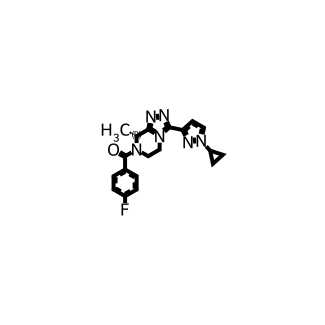 C[C@@H]1c2nnc(-c3ccn(C4CC4)n3)n2CCN1C(=O)c1ccc(F)cc1